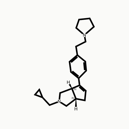 C1=C(c2ccc(CCN3CCCC3)cc2)[C@H]2CN(CC3CC3)C[C@H]2C1